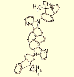 CC1(C)c2ccccc2-c2ccc(-n3c4cccnc4c4c5ccc6cc7c(c8ccc(cc43)c5c68)c3ncccc3n7-c3ccc4c(c3)C(C)(C)c3ccccc3-4)cc21